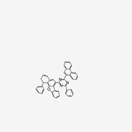 C1=Cc2cc(-c3nc(-c4ccccc4)nc(-c4cc5ccccc5c5ccccc45)n3)c3c(oc4ccccc43)c2C(c2ccccc2)C1